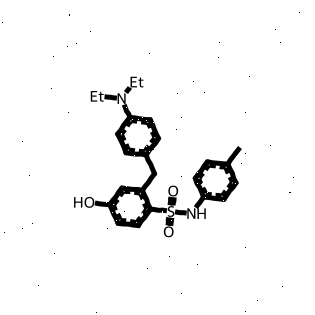 CCN(CC)c1ccc(Cc2cc(O)ccc2S(=O)(=O)Nc2ccc(C)cc2)cc1